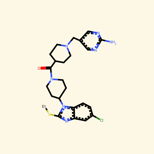 CCSc1nc2cc(Cl)ccc2n1C1CCN(C(=O)C2CCN(Cc3cnc(N)nc3)CC2)CC1